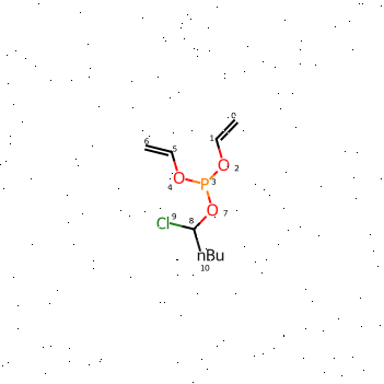 C=COP(OC=C)OC(Cl)CCCC